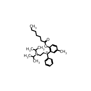 CCCCCCC(=O)Oc1ccc(C)cc1[C@H](CCN(C(C)C)C(C)C)c1ccccc1